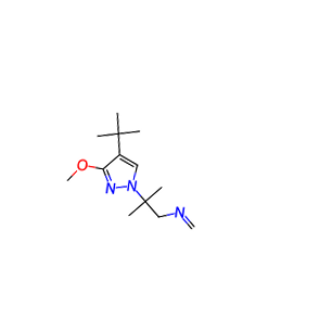 C=NCC(C)(C)n1cc(C(C)(C)C)c(OC)n1